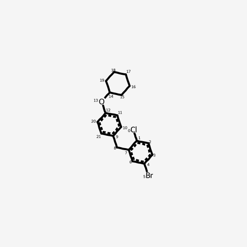 Clc1ccc(Br)cc1Cc1ccc(OC2CCCCC2)cc1